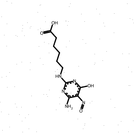 Nc1nc(NCCCCCC(=O)O)nc(O)c1N=O